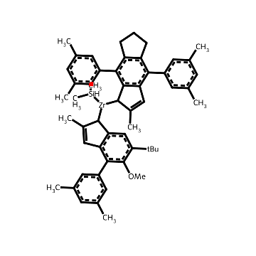 COc1c(C(C)(C)C)cc2c(c1-c1cc(C)cc(C)c1)C=C(C)[CH]2[Zr]([CH]1C(C)=Cc2c(-c3cc(C)cc(C)c3)c3c(c(-c4cc(C)cc(C)c4)c21)CCC3)[SiH](C)C